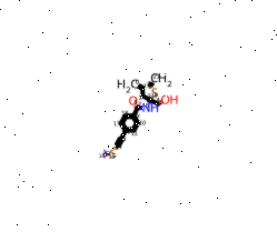 C=CCC(CO)(NC(=O)c1ccc(C#CSI)cc1)SC=C